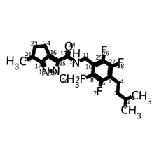 CC(C)CCc1c(F)c(F)c(CNC(=O)c2c3c(nn2C)C(C)CC3)c(F)c1F